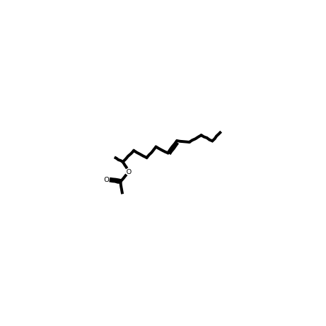 CCCCC=CCCCC(C)OC(C)=O